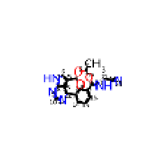 CCOC(=O)c1c[nH]c2ncnc(-c3cccc(C(=O)NCC#N)c3)c12